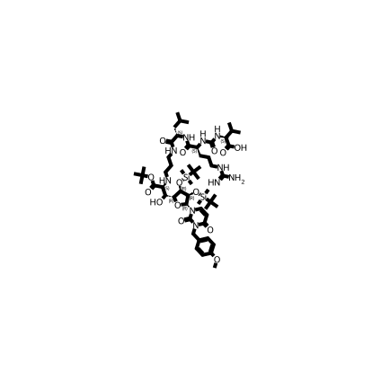 COc1ccc(Cn2c(=O)ccn([C@@H]3O[C@H](C(O)[C@H](NCCCNC(=O)[C@H](CC(C)C)NC(=O)[C@H](CCCNC(=N)N)NC(=O)N[C@H](C(=O)O)C(C)C)C(=O)OC(C)(C)C)[C@@H](O[Si](C)(C)C(C)(C)C)[C@H]3O[Si](C)(C)C(C)(C)C)c2=O)cc1